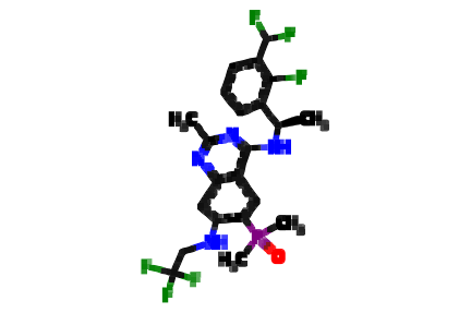 Cc1nc(N[C@H](C)c2cccc(C(F)F)c2F)c2cc(P(C)(C)=O)c(NCC(F)(F)F)cc2n1